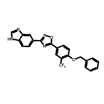 FC(F)(F)c1cc(-c2nc(-c3ccc4[nH]cnc4c3)no2)ccc1OCc1ccccc1